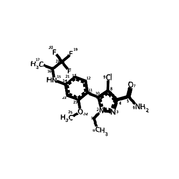 CCn1nc(C(N)=O)c(Cl)c1-c1ccc(NC(C)C(F)(F)F)cc1OC